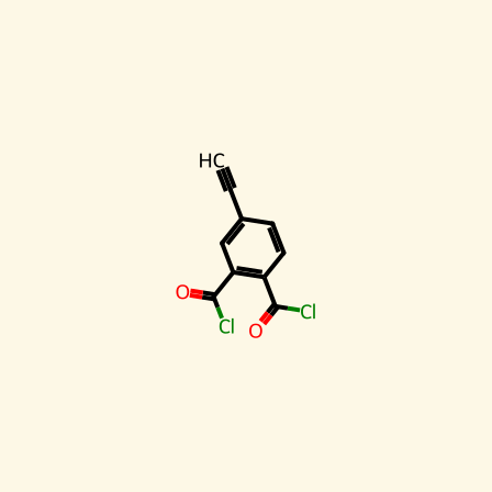 C#Cc1ccc(C(=O)Cl)c(C(=O)Cl)c1